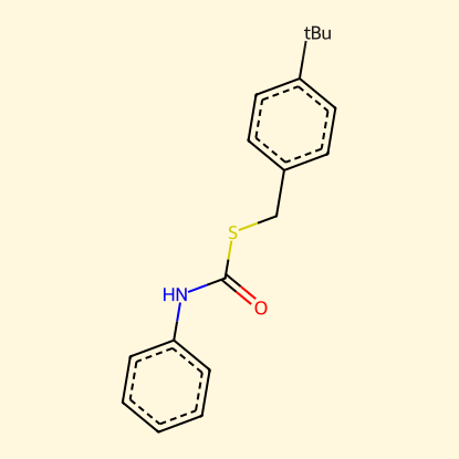 CC(C)(C)c1ccc(CSC(=O)Nc2ccccc2)cc1